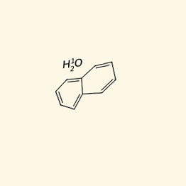 [1OH2].c1ccc2ccccc2c1